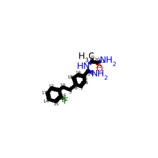 CC(NC(N)c1ccc(CCc2ccccc2F)cc1)C(N)=O